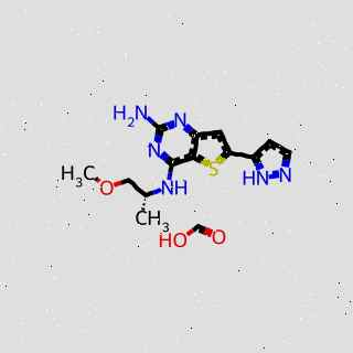 COC[C@@H](C)Nc1nc(N)nc2cc(-c3ccn[nH]3)sc12.O=CO